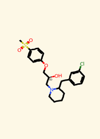 CS(=O)(=O)c1ccc(OC[C@@H](O)CN2CCCCC2Cc2cccc(Cl)c2)cc1